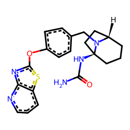 NC(=O)N[C@@]12CCC[C@@H](CC1)N2Cc1ccc(Oc2nc3ncccc3s2)cc1